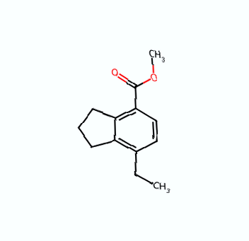 CCc1ccc(C(=O)OC)c2c1CCC2